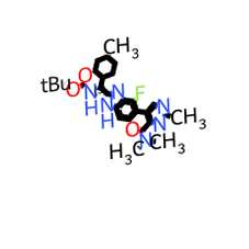 Cc1ncc(-c2ccc3[nH]c([C@@H](NC(=O)OC(C)(C)C)C4CCC(C)CC4)nc3c2F)c(C(=O)N(C)C)n1